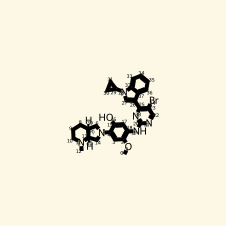 COc1cc(N2C[C@H]3CCCN(C)[C@H]3C2)c(O)cc1Nc1ncc(Br)c(-c2cn(C3CC3)c3ccccc23)n1